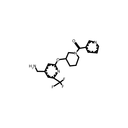 NCc1cc(OC2CCCN(C(=O)c3cccnc3)C2)nc(C(F)(F)F)c1